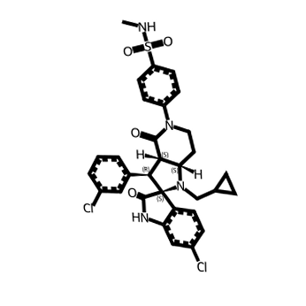 CNS(=O)(=O)c1ccc(N2CC[C@H]3[C@@H](C2=O)[C@H](c2cccc(Cl)c2)[C@]2(C(=O)Nc4cc(Cl)ccc42)N3CC2CC2)cc1